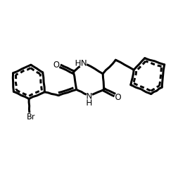 O=C1NC(Cc2ccccc2)C(=O)N/C1=C/c1ccccc1Br